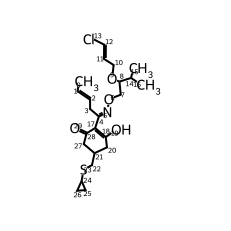 C/C=C/C/C(=N\OCC(OC/C=C/Cl)C(C)C)C1=C(O)CC(CSC2CC2)CC1=O